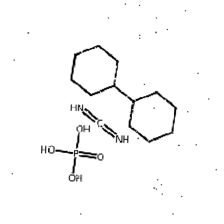 C1CCC(C2CCCCC2)CC1.N=C=N.O=P(O)(O)O